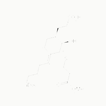 CCCCCCCCCCCCC/C=C1\CC[C@@H](CCC(=O)O)[C@@H](O)[C@@H]1SCCC(=O)OC